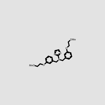 COCCOc1cccc(CN(Cc2cccc(OCCOC)c2)c2nccs2)c1